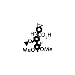 COc1cc(-c2ccc(NC3(C(=O)O)CCC(F)(F)CC3)cc2COC2CC2)c(F)c(OC)c1C